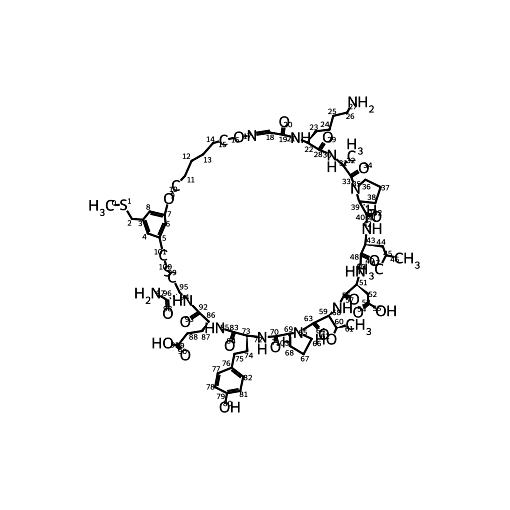 CSCc1cc2cc(c1)OCCCCCCO/N=C/C(=O)N[C@@H](CCCCN)C(=O)N[C@@H](C)C(=O)N1CCC[C@H]1C(=O)N[C@@H](CC(C)C)C(=O)N[C@@H](CC(=O)O)C(=O)N[C@@H]([C@@H](C)O)C(=O)N1CCC[C@H]1C(=O)N[C@@H](CCc1ccc(O)cc1)C(=O)N[C@@H](CCC(=O)O)C(=O)N[C@H](C(N)=O)CSC2